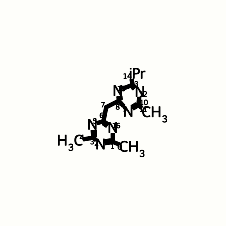 Cc1nc(C)nc(Cc2nc(C)nc(C(C)C)n2)n1